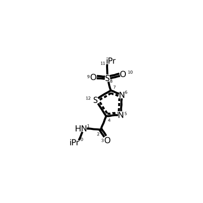 CC(C)NC(=O)c1nnc(S(=O)(=O)C(C)C)s1